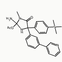 CC(=O)OC1(N)NC(c2ccc([Si](C)(C)C)cc2)(c2cccc(-c3cccnc3)c2)C(=O)N1C